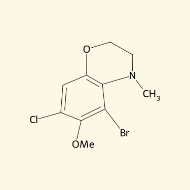 COc1c(Cl)cc2c(c1Br)N(C)CCO2